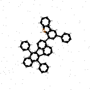 c1ccc(-c2cc(-c3ccc4c5c(cccc35)-c3c-4c(-c4ccccc4)c4ccccc4c3-c3ccccc3)c3sc4ccccc4c3c2)cc1